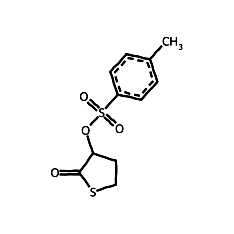 Cc1ccc(S(=O)(=O)OC2CCSC2=O)cc1